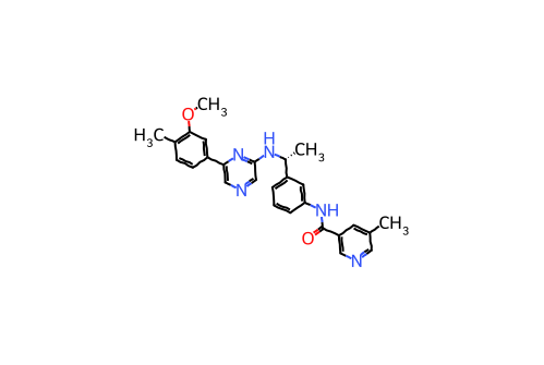 COc1cc(-c2cncc(N[C@H](C)c3cccc(NC(=O)c4cncc(C)c4)c3)n2)ccc1C